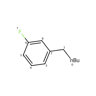 CCCCCc1cc[c]c(F)c1